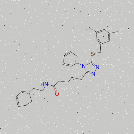 Cc1cc(C)cc(CSc2nnc(CCCCC(=O)NCCC3=CC=CCC3)n2-c2ccccc2)c1